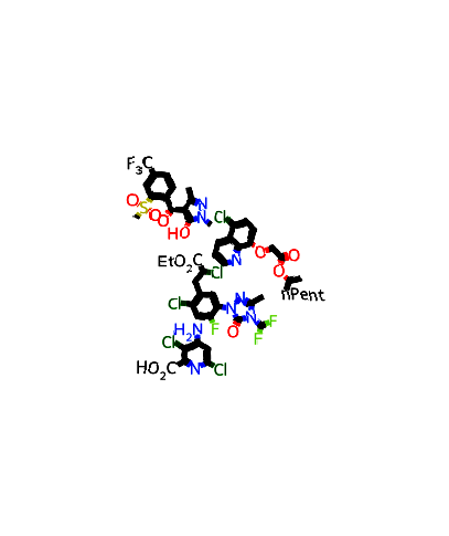 CCCCCC(C)OC(=O)COc1ccc(Cl)c2cccnc12.CCOC(=O)C(Cl)Cc1cc(-n2nc(C)n(C(F)F)c2=O)c(F)cc1Cl.Cc1nn(C)c(O)c1C(=O)c1ccc(C(F)(F)F)cc1S(C)(=O)=O.Nc1cc(Cl)nc(C(=O)O)c1Cl